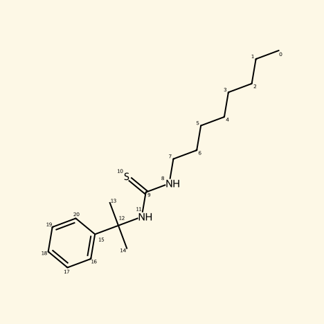 CCCCCCCCNC(=S)NC(C)(C)c1ccccc1